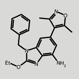 CCOc1nc2c(N)cc(-c3c(C)noc3C)cc2n1Cc1ccccc1